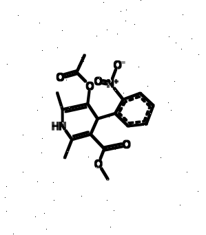 COC(=O)C1=C(C)NC(C)=C(OC(C)=O)C1c1ccccc1[N+](=O)[O-]